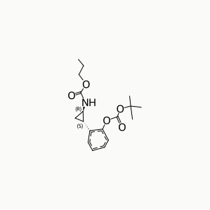 CCCOC(=O)N[C@@H]1C[C@H]1c1ccccc1OC(=O)OC(C)(C)C